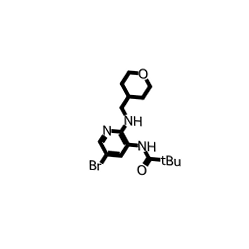 CC(C)(C)C(=O)Nc1cc(Br)cnc1NCC1CCOCC1